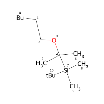 CCC(C)CCOC(C)(C)[Si](C)(C)C(C)(C)C